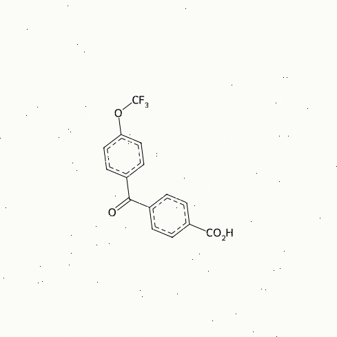 O=C(O)c1ccc(C(=O)c2ccc(OC(F)(F)F)cc2)cc1